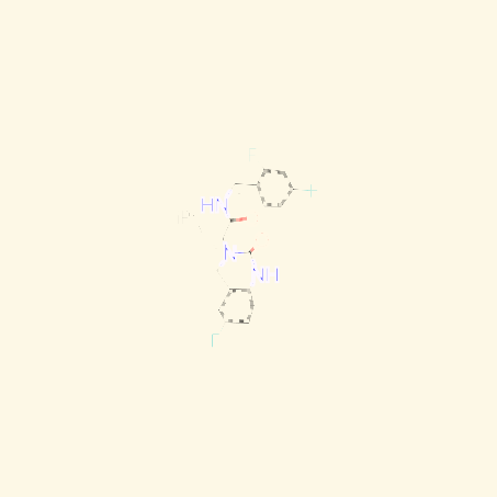 CC(C)C[C@H](C(=O)N[C@H](C)c1ccc(F)cc1F)N1Cc2cc(F)ccc2NC1=O